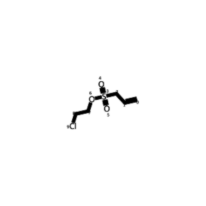 C=CCS(=O)(=O)OCCCl